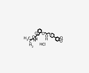 C=C(C)c1nnc(-c2cc3c(OC[C@@H](O)CN4CCC(c5ccc6c(c5)OCO6)CC4)cccc3o2)o1.Cl